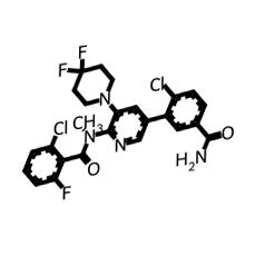 CN(C(=O)c1c(F)cccc1Cl)c1ncc(-c2cc(C(N)=O)ccc2Cl)cc1N1CCC(F)(F)CC1